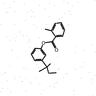 CCC(C)(C)c1cccc(OC(=O)c2ccccc2C)c1